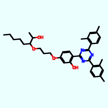 CCCCCC(OCCCOc1ccc(-c2nc(-c3ccc(C)cc3C)nc(-c3ccc(C)cc3C)n2)c(O)c1)C(C)O